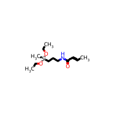 CC=CC(=O)NCCC[Si](C)(OCC)OCC